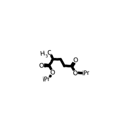 CC(C)OC(=O)CCC(C)C(=O)OC(C)C